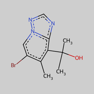 Cc1c(Br)cn2ncnc2c1C(C)(C)O